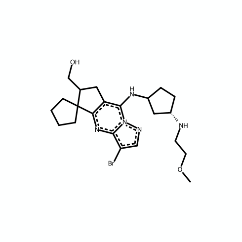 COCCN[C@H]1CCC(Nc2c3c(nc4c(Br)cnn24)C2(CCCC2)C(CO)C3)C1